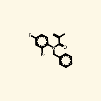 C=C(C)C(=O)N(Cc1ccccc1)c1ccc(F)cc1Br